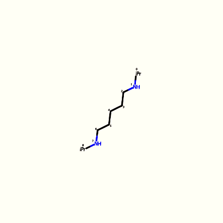 CC(C)NCCCCCNC(C)C